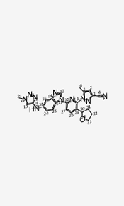 Cc1cc(C#N)nn1-c1nc(-n2cnc3cc(Nc4cn(C)nn4)ccc32)ccc1C1CCCO1